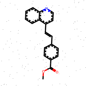 COC(=O)c1ccc(/C=C/c2ccnc3ccccc23)cc1